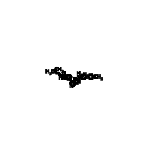 CN(C)CC=CC(=O)Nc1cccc(-c2cncc3cnc(Nc4ccc(N5CCN(C)CC5)nc4)nc23)c1